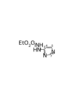 CCOC(=O)NNc1ccncn1